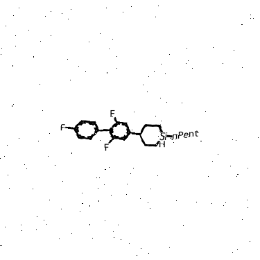 CCCCC[SiH]1CCC(c2cc(F)c(-c3ccc(F)cc3)c(F)c2)CC1